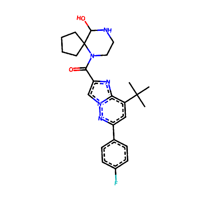 CC(C)(C)c1cc(-c2ccc(F)cc2)nn2cc(C(=O)N3CCNC(O)C34CCCC4)nc12